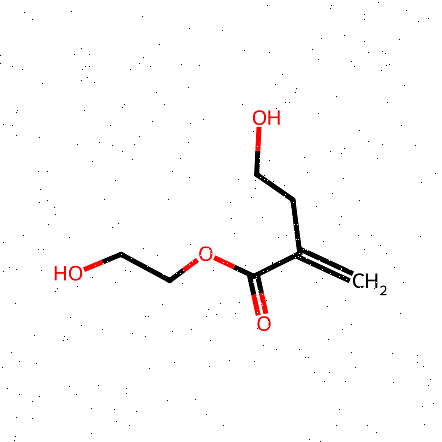 C=C(CCO)C(=O)OCCO